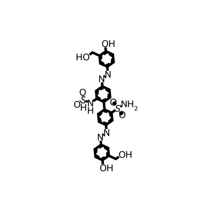 NS(=O)(=O)c1cc(N=Nc2ccc(O)c(CO)c2)ccc1-c1ccc(N=Nc2ccc(O)c(CO)c2)cc1N[SH](=O)=O